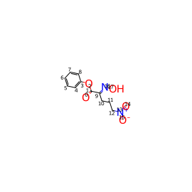 O=C(Oc1ccccc1)C(CCC[N+](=O)[O-])=NO